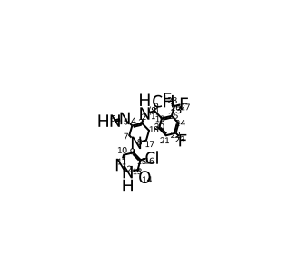 C[C@H](NC1=C(N=N)CN(c2cn[nH]c(=O)c2Cl)CC1)c1ccc(F)cc1C(F)F